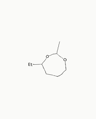 CCC1CCCOC(C)O1